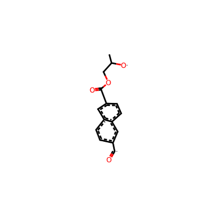 CC([O])COC(=O)c1ccc2cc([C]=O)ccc2c1